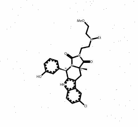 CCN(CCOC)CCN1C(=O)N2[C@H](c3cccc(O)c3)c3[nH]c4ccc(Cl)cc4c3C[C@@]2(C)C1=O